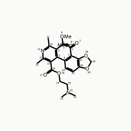 COC(=O)c1c(-c2c(C(=O)OC)c(C)nc(C)c2C(=O)OCCN(C)C)ccc2c1OCO2